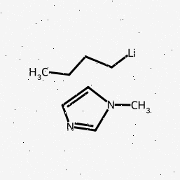 Cn1ccnc1.[Li][CH2]CCC